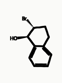 O[C@@H]1c2ccccc2CC[C@H]1Br